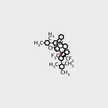 Cc1cc(C)c(-c2ccc3c(c2)c2ccccc2n3-c2cccc(C#N)c2-c2c(-c3cc(C(F)(F)F)cc(C(F)(F)F)c3)cccc2-n2c3ccccc3c3cc(-c4c(C)cc(C)cc4C)ccc32)c(C)c1